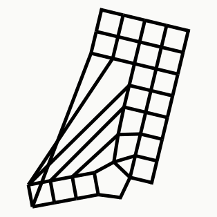 C1C2C3C4CC5C6C7C8C9C%10CC%11%12CC%13C%14C%15C%16C%17C1C21C32C45C63C74C85C96C%10%11C%127C%13C%148C%159C%16%10C%171C23C%104C95C876